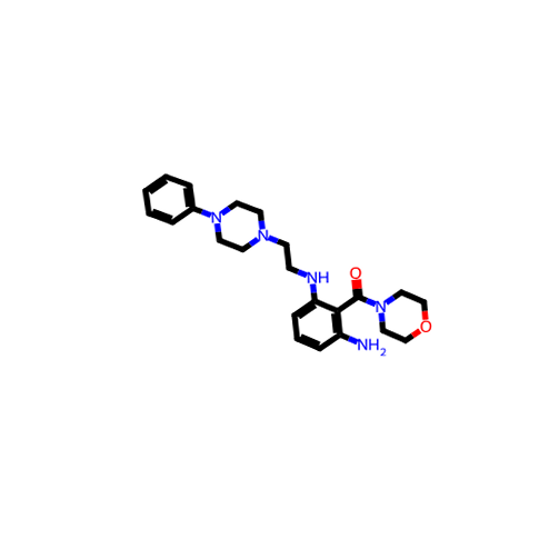 Nc1cccc(NCCN2CCN(c3ccccc3)CC2)c1C(=O)N1CCOCC1